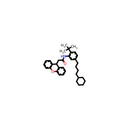 CC(C)(C)c1ccc(CC[CH]CC2CCCCC2)cc1NC(=O)CC1c2ccccc2Oc2ccccc21